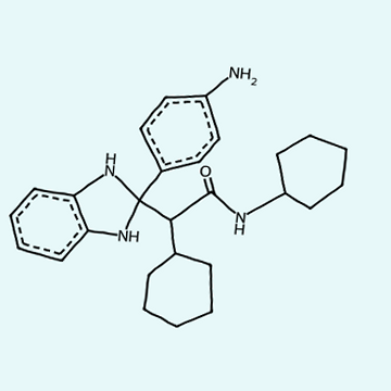 Nc1ccc(C2(C(C(=O)NC3CCCCC3)C3CCCCC3)Nc3ccccc3N2)cc1